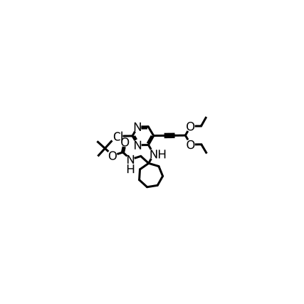 CCOC(C#Cc1cnc(Cl)nc1NC1(CNC(=O)OC(C)(C)C)CCCCCC1)OCC